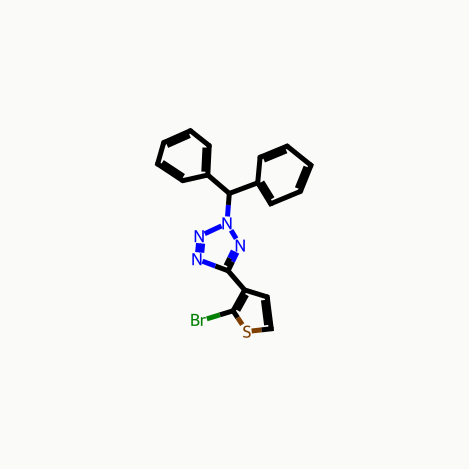 Brc1sccc1-c1nnn(C(c2ccccc2)c2ccccc2)n1